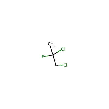 CC(F)(Cl)CCl